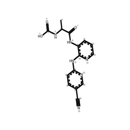 CC(NC(=O)O)C(=O)Nc1cccnc1Nc1ccc(C#N)cn1